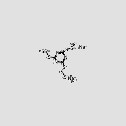 [Na+].[Na+].[Na+].[S-]SSc1nc(SS[S-])nc(SS[S-])n1